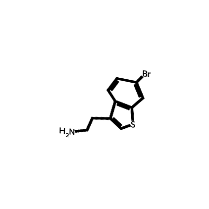 NCCc1csc2cc(Br)ccc12